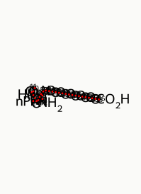 CCCN(OCCNC(=O)OC1CCC1)C(=O)C1=Cc2sc(CC3CN(CCOCCOCCOCCOCCOCCOCCOCCOCCOCCOCCC(=O)O)C3)cc2N=C(N)C1